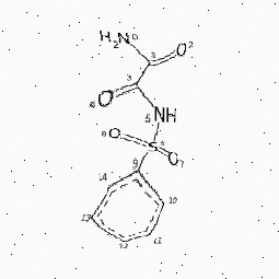 NC(=O)C(=O)NS(=O)(=O)c1ccccc1